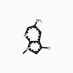 Cn1cc(Cl)c2cc(N)cnc21